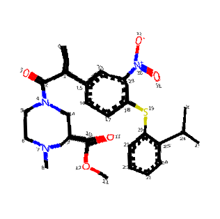 C=C(C(=O)N1CCN(C)C(C(=O)OC)C1)c1ccc(Sc2ccccc2C(C)C)c([N+](=O)[O-])c1